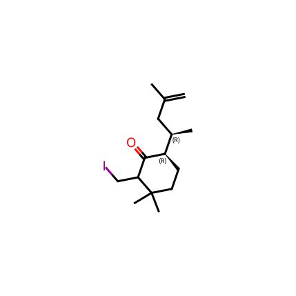 C=C(C)C[C@@H](C)[C@H]1CCC(C)(C)C(CI)C1=O